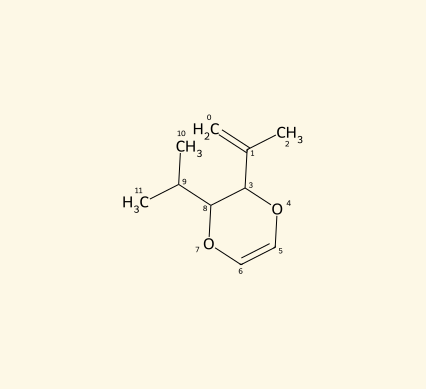 C=C(C)C1OC=COC1C(C)C